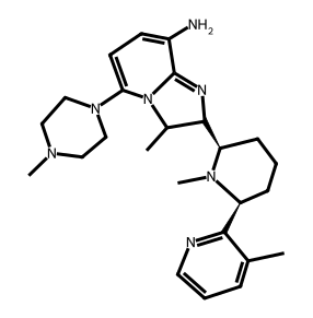 Cc1cccnc1[C@@H]1CCC[C@H](C2N=C3C(N)=CC=C(N4CCN(C)CC4)N3C2C)N1C